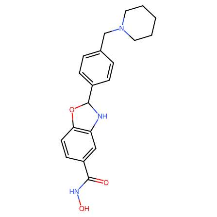 O=C(NO)c1ccc2c(c1)NC(c1ccc(CN3CCCCC3)cc1)O2